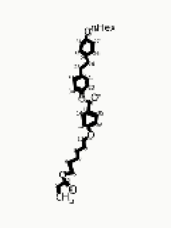 C=CC(=O)OCCCCCCOc1ccc(C(=O)Oc2ccc(CCc3ccc(OCCCCCC)cc3)cc2)cc1